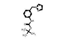 CC(C)(C)OC(=O)Nc1cccc(Cn2cccn2)c1